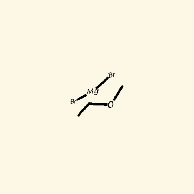 CCOC.[Br][Mg][Br]